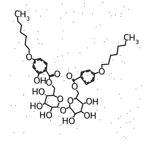 CCCCCCCOc1ccc(C(=O)OCC2O[C@H](O[C@H]3OC(COC(=O)c4ccc(OCCCCCCC)cc4O)[C@@H](O)C(O)C3O)C(O)C(O)[C@@H]2O)cc1